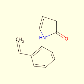 C=Cc1ccccc1.O=C1CC=CN1